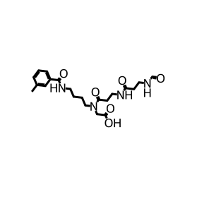 Cc1cccc(C(=O)NCCCCN(CC(=O)O)C(=O)CCNC(=O)CCNC=O)c1